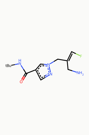 CC(C)(C)NC(=O)c1cnn(C/C(=C/F)CN)c1